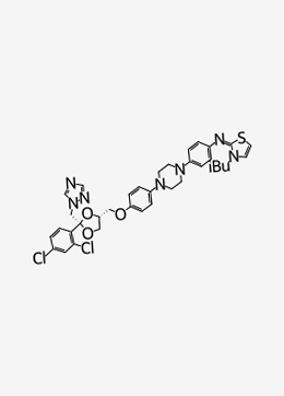 CCC(C)n1ccsc1=Nc1ccc(N2CCN(c3ccc(OC[C@@H]4CO[C@@](Cn5cncn5)(c5ccc(Cl)cc5Cl)O4)cc3)CC2)cc1